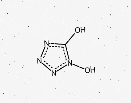 Oc1nnnn1O